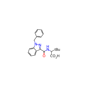 CC(C)(C)C(NC(=O)c1nn(Cc2ccccc2)c2ccccc12)C(=O)O